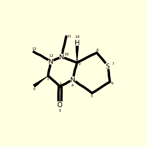 C[C@@H]1C(=O)N2CCSC[C@H]2N(C)N1C